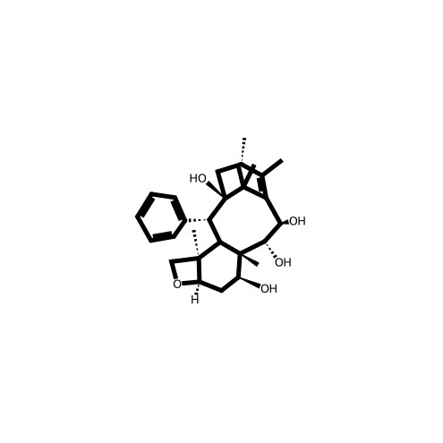 CC1=C2[C@@H](O)[C@H](O)[C@@]3(C)C([C@H](c4ccccc4)[C@](O)(C[C@@H]1C)C2(C)C)[C@]1(C)CO[C@@H]1C[C@@H]3O